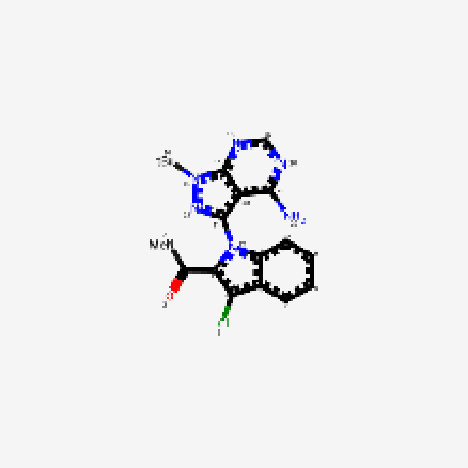 CNC(=O)c1c(Cl)c2ccccc2n1-c1nn(C(C)(C)C)c2ncnc(N)c12